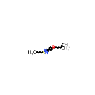 CCCCCCCSc1ncc(-c2ccc(OCCCCC[C@@H](C)CC)cc2)cn1